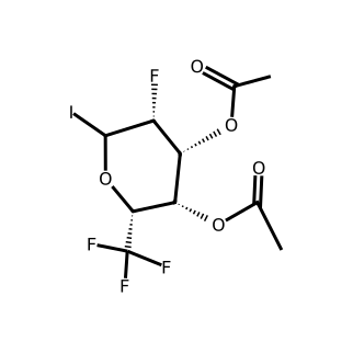 CC(=O)O[C@@H]1[C@H](OC(C)=O)[C@H](C(F)(F)F)OC(I)[C@@H]1F